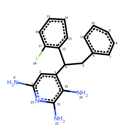 Nc1cc(C(Cc2ccccc2)c2ccccc2F)c(N)c(N)n1